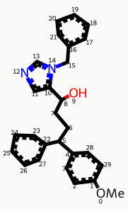 COc1ccc(C(CCC(O)c2cncn2Cc2ccccc2)c2ccccc2)cc1